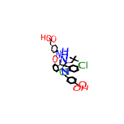 CC(C)(C)C[C@@H]1N[C@@H](C(=O)N[C@H]2CC[C@H](CC(=O)O)CC2)[C@H](c2ccccc2Cl)[C@]12CN(Cc1ccc(C(=O)O)cc1)c1ccc(Cl)cc12